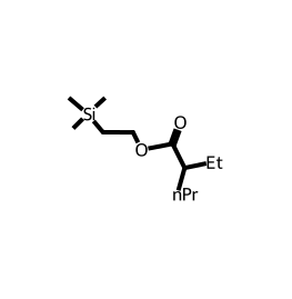 CCCC(CC)C(=O)OCC[Si](C)(C)C